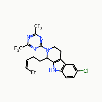 CC/C=C\CCC1c2[nH]c3ccc(Cl)cc3c2CCN1c1nc(C(F)(F)F)nc(C(F)(F)F)n1